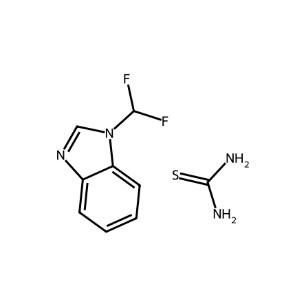 FC(F)n1cnc2ccccc21.NC(N)=S